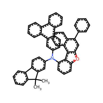 CC1(C)c2ccccc2-c2ccc(N(c3ccc4c5ccccc5c5ccccc5c4c3)c3cccc4oc5cc(-c6ccccc6)c6ccccc6c5c34)cc21